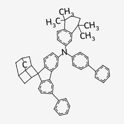 CC1(C)CCC(C)(C)c2cc(N(c3ccc(-c4ccccc4)cc3)c3ccc4c(c3)-c3cc(-c5ccccc5)ccc3C43C4CC5CC6CC3C64C5)ccc21